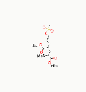 CN[C@@H](C[C@@H](CCCOS(C)(=O)=O)C(=O)OC(C)(C)C)C(=O)OC(C)(C)C